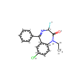 O=C1C(F)N=C(c2ccccc2)c2cc(Cl)ccc2N1CC(F)(F)F